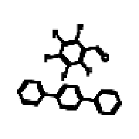 O=Cc1c(F)c(F)c(F)c(F)c1F.c1ccc(-c2ccc(-c3ccccc3)cc2)cc1